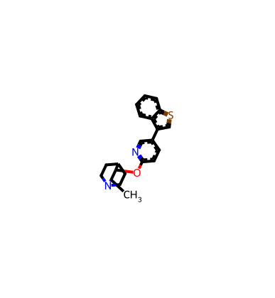 CC1C(Oc2ccc(-c3csc4ccccc34)cn2)C2CCN1CC2